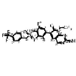 CCn1c(=O)c(-c2cc(F)c(NS(=O)(=O)Cc3ccc(C(F)(F)F)cc3)c(F)c2F)cc2cnc(N)nc21